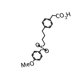 COc1ccc(S(=O)(=O)CCCCc2ccc(CC(=O)O)cc2)cc1